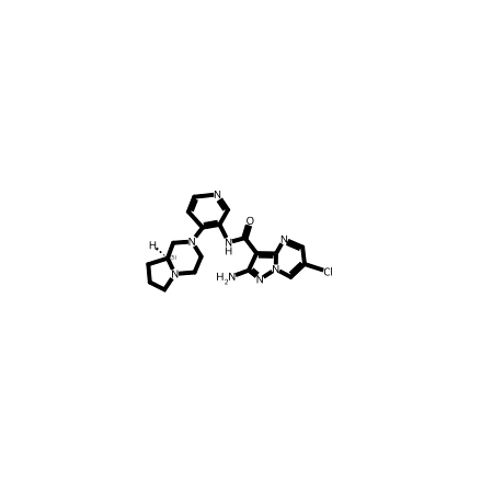 Nc1nn2cc(Cl)cnc2c1C(=O)Nc1cnccc1N1CCN2CCC[C@H]2C1